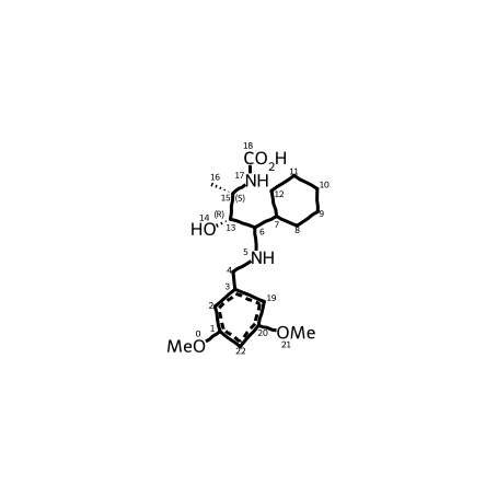 COc1cc(CNC(C2CCCCC2)[C@H](O)[C@H](C)NC(=O)O)cc(OC)c1